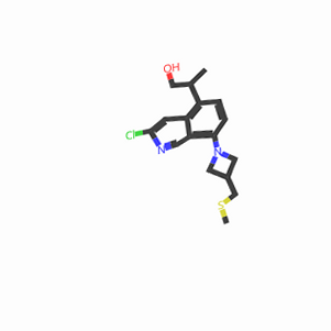 CSCC1CN(c2ccc(C(C)CO)c3cc(Cl)ncc23)C1